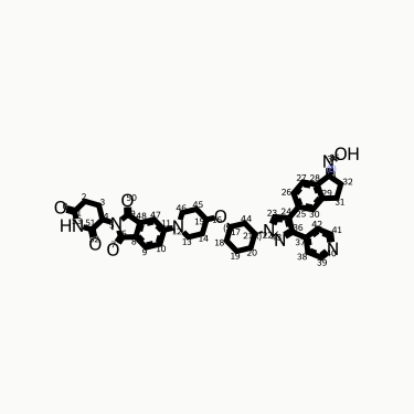 O=C1CCC(N2C(=O)c3ccc(N4CCC(O[C@H]5CCC[C@@H](n6cc(-c7ccc8c(c7)CC/C8=N\O)c(-c7ccncc7)n6)C5)CC4)cc3C2=O)C(=O)N1